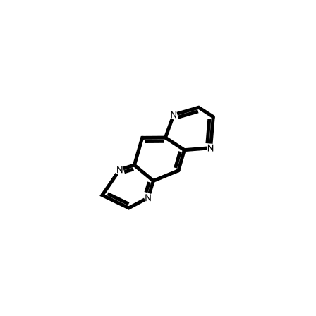 c1cnc2cc3nccnc3cc2n1